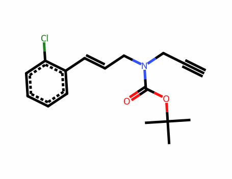 C#CCN(C/C=C/c1ccccc1Cl)C(=O)OC(C)(C)C